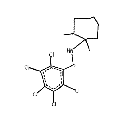 CC1CCCCC1(C)NSc1c(Cl)c(Cl)c(Cl)c(Cl)c1Cl